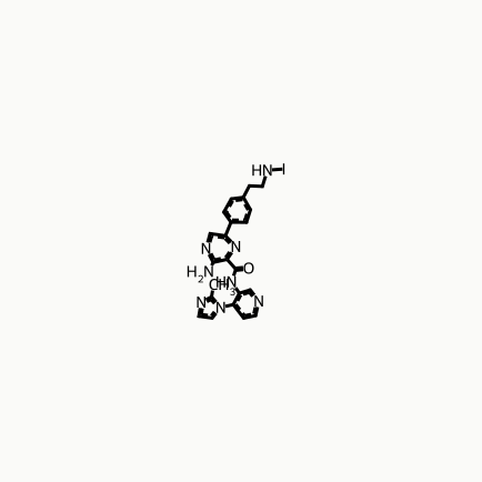 Cc1nccn1-c1ccncc1NC(=O)c1nc(-c2ccc(CCNI)cc2)cnc1N